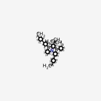 C=Cc1ccc(-c2ccc(B3c4ccccc4N4c5cc(-c6ccc(C=C)cc6)ccc5B(c5ccccc5)c5cc(C(C)(C)C)cc3c54)cc2)cc1